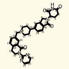 O=C1CCC(N2Cc3cc(C4CCN(Cc5ccc6c(c5)C(=O)N(c5ncccn5)CC6)CC4)ccc3C2=O)C(=O)N1